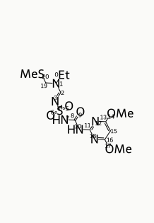 CCN(C=NS(=O)(=O)NC(=O)Nc1nc(OC)cc(OC)n1)CSC